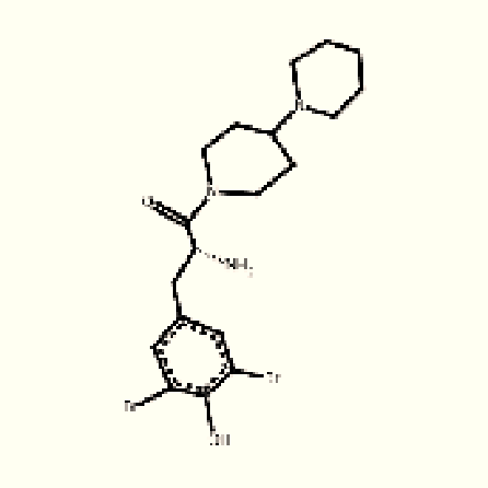 N[C@H](Cc1cc(Br)c(O)c(Br)c1)C(=O)N1CCC(N2CCCCC2)CC1